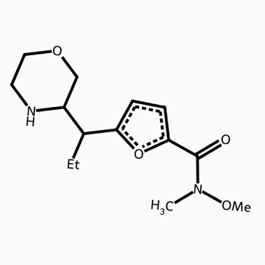 CCC(c1ccc(C(=O)N(C)OC)o1)C1COCCN1